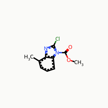 COC(=O)n1c(Cl)nc2c(C)cccc21